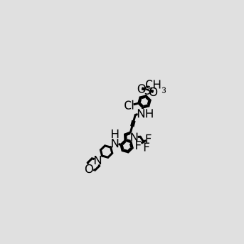 CS(=O)(=O)c1ccc(NCC#Cc2cc3c(NC4CCC(N5CCOCC5)CC4)cccc3n2CC(F)(F)F)c(Cl)c1